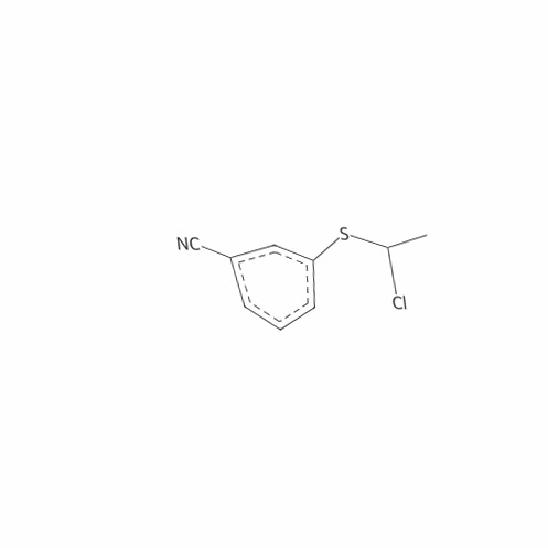 CC(Cl)Sc1cccc(C#N)c1